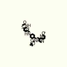 COc1ccc2nccc(C[C@@H](NC(=O)OC(C)(C)C)C3CCC(NCc4ccc5c(n4)NC(=O)CS5)CC3)c2n1